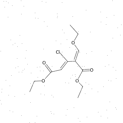 CCOC=C(C(=O)OCC)C(Cl)=CC(=O)OCC